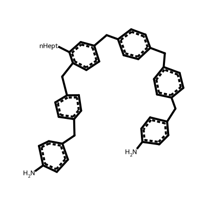 CCCCCCCc1cc(Cc2ccc(Cc3ccc(Cc4ccc(N)cc4)cc3)cc2)ccc1Cc1ccc(Cc2ccc(N)cc2)cc1